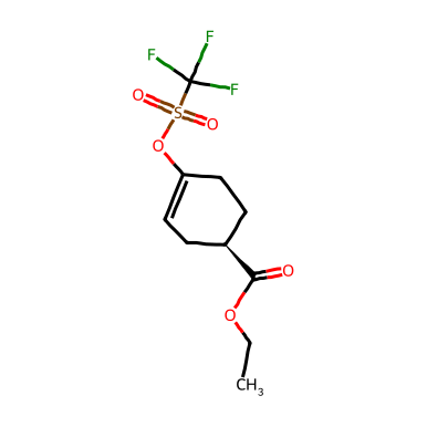 CCOC(=O)[C@H]1CC=C(OS(=O)(=O)C(F)(F)F)CC1